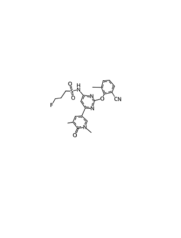 Cc1cccc(C#N)c1Oc1nc(NS(=O)(=O)CCCF)cc(-c2cc(C)c(=O)n(C)c2)n1